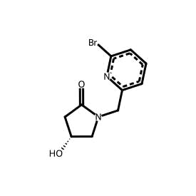 O=C1C[C@@H](O)CN1Cc1cccc(Br)n1